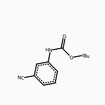 CC(C)(C)OC(=O)Nc1c[c]cc(C#N)c1